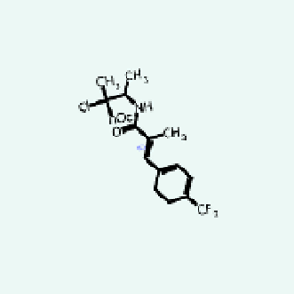 CCCCCCCCC(C)(Cl)C(C)NC(=O)/C(C)=C/C1=CC=C(C(F)(F)F)CC1